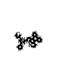 c1ccc(-c2nc(-c3ccccc3)nc(-c3ccc4c(n3)c3ncccc3c3c5ccccc5c5ccccc5c43)n2)cc1